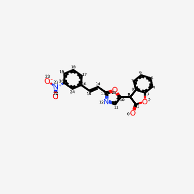 O=C1Oc2ccccc2C1c1cnc(/C=C/c2cccc([N+](=O)[O-])c2)o1